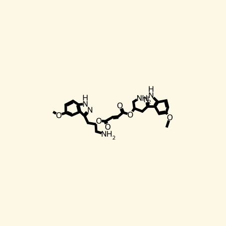 COc1ccc2[nH]nc(CC(CN)OC(=O)/C=C/C(=O)OC(CN)Cc3n[nH]c4ccc(OC)cc34)c2c1